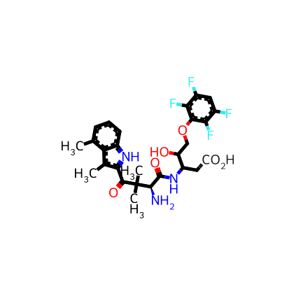 Cc1cccc2[nH]c(C(=O)C(C)(C)[C@H](N)C(=O)NC(CC(=O)O)C(O)COc3c(F)c(F)cc(F)c3F)c(C)c12